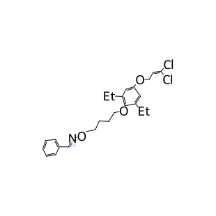 CCc1cc(OCC=C(Cl)Cl)cc(CC)c1OCCCCCO/N=C/c1ccccc1